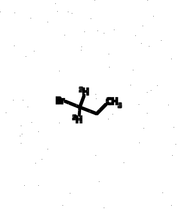 [2H]C([2H])(Br)CC